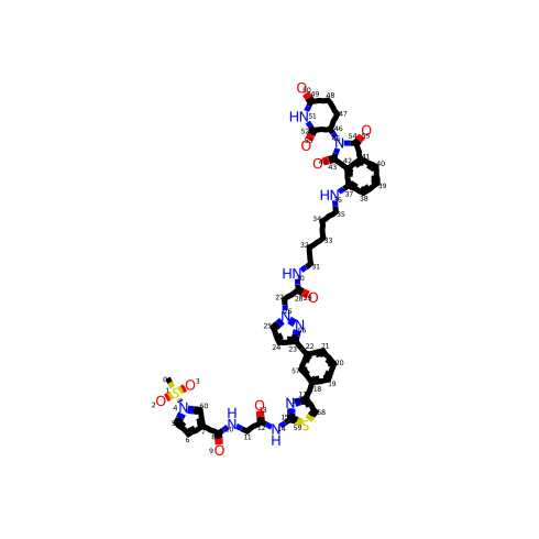 CS(=O)(=O)n1ccc(C(=O)NCC(=O)Nc2nc(-c3cccc(-c4ccn(CC(=O)NCCCCCNc5cccc6c5C(=O)N(C5CCC(=O)NC5=O)C6=O)n4)c3)cs2)c1